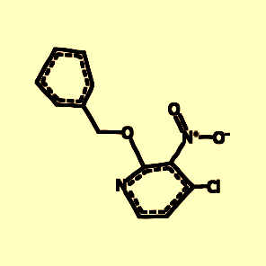 O=[N+]([O-])c1c(Cl)ccnc1OCc1ccccc1